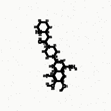 COc1cc2c(N)nc(N3CCN(C(=O)CC4CCCCN4)CC3)nc2c(F)c1OC